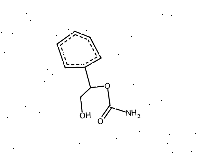 NC(=O)OC(CO)c1ccccc1